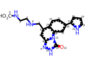 O=C(O)NCCNCc1cc2n[nH]c(=O)n2c2cc(-c3ccc[nH]3)ccc12